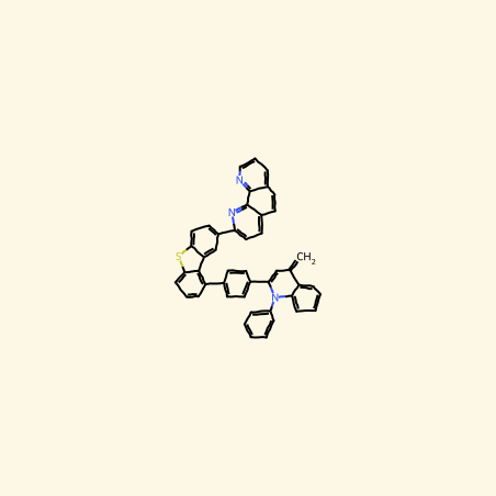 C=C1C=C(c2ccc(-c3cccc4sc5ccc(-c6ccc7ccc8cccnc8c7n6)cc5c34)cc2)N(c2ccccc2)c2ccccc21